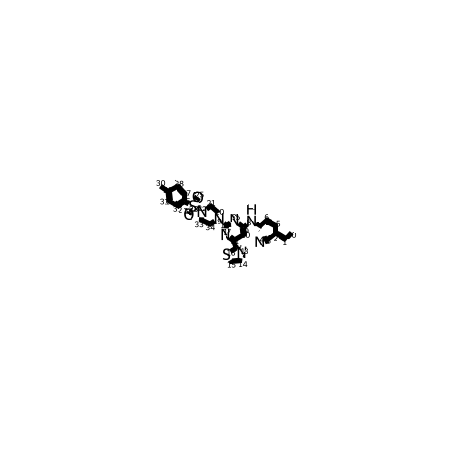 C/C=C(C#N)\C=C/CNc1cc(-c2nccs2)nc(N2CCN(S(=O)(=O)c3ccc(C)cc3)CC2)n1